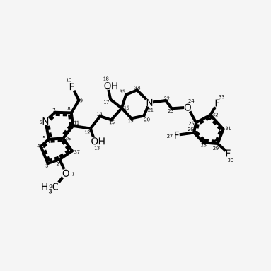 COc1ccc2ncc(CF)c(C(O)CCC3(CO)CCN(CCOc4c(F)cc(F)cc4F)CC3)c2c1